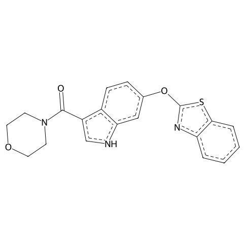 O=C(c1c[nH]c2cc(Oc3nc4ccccc4s3)ccc12)N1CCOCC1